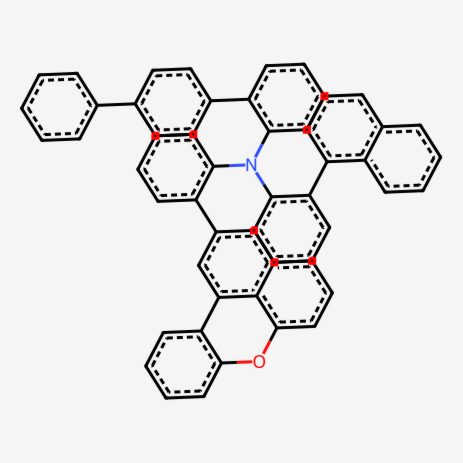 c1ccc(-c2ccc(-c3ccccc3N(c3ccccc3-c3cc4c5c(cccc5c3)Oc3ccccc3-4)c3ccccc3-c3cccc4ccccc34)cc2)cc1